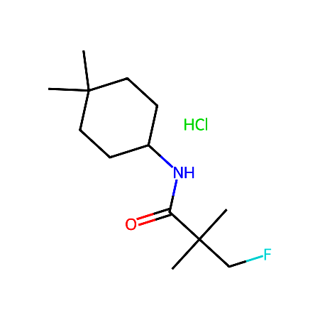 CC1(C)CCC(NC(=O)C(C)(C)CF)CC1.Cl